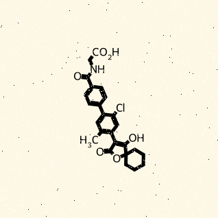 Cc1cc(-c2ccc(C(=O)NCC(=O)O)cc2)c(Cl)cc1C1=C(O)C2(CCCCC2)OC1=O